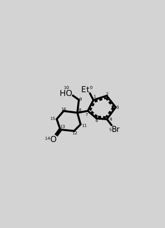 CCc1ccc(Br)cc1C1(CO)CCC(=O)CC1